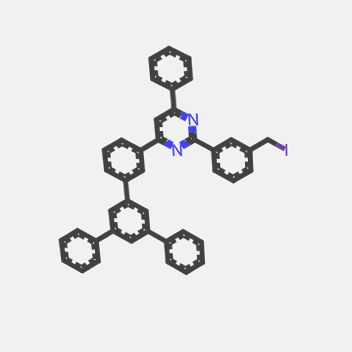 ICc1cccc(-c2nc(-c3ccccc3)cc(-c3cccc(-c4cc(-c5ccccc5)cc(-c5ccccc5)c4)c3)n2)c1